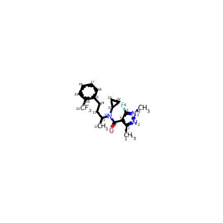 Cc1nn(C)c(F)c1C(=O)N(C(C)CCc1ccccc1C(F)(F)F)C1CC1